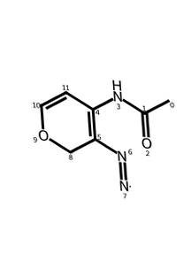 CC(=O)NC1=C(N=[N])COC=C1